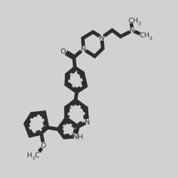 COc1ccccc1-c1c[nH]c2ncc(-c3ccc(C(=O)N4CCN(CCN(C)C)CC4)cc3)cc12